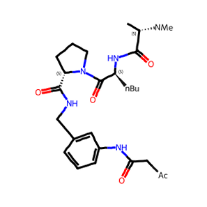 CCCC[C@H](NC(=O)[C@H](C)NC)C(=O)N1CCC[C@H]1C(=O)NCc1cccc(NC(=O)CC(C)=O)c1